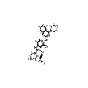 CC#CCn1c(N2CCNCC2)nc2cnn(Cc3nc(N4CCOCC4)c4ccccc4n3)c(=O)c21